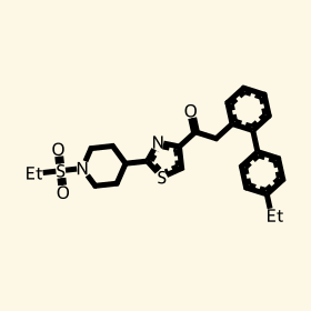 CCc1ccc(-c2ccccc2CC(=O)c2csc(C3CCN(S(=O)(=O)CC)CC3)n2)cc1